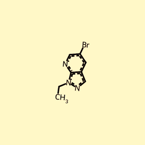 CCn1ncc2cc(Br)cnc21